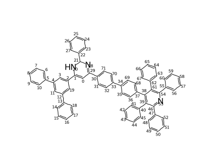 C1=C(c2cc(-c3ccccc3)cc(-c3ccccc3)c2)NC(c2ccccc2)N=C1c1ccc(-c2ccc(-c3c(-c4ccccc4)c(-c4ccccc4)nc(-c4ccccc4)c3-c3ccccc3)cc2)cc1